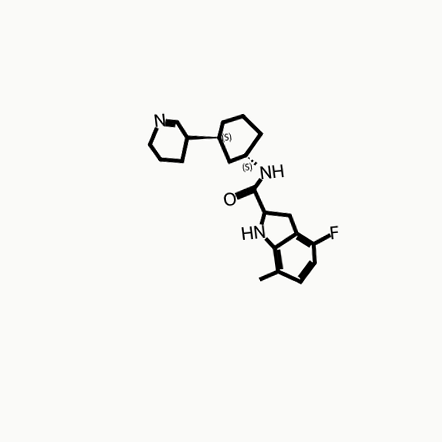 Cc1ccc(F)c2c1NC(C(=O)N[C@H]1CCC[C@H](C3C=NCCC3)C1)C2